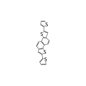 c1csc(-c2cc3ccc4c(ccc5cc(-c6cccs6)sc54)c3s2)c1